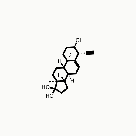 C#C[C@@H]1C2=CC[C@@H]3[C@H](CC[C@@]4(C)[C@H]3CCC4(O)O)[C@@]2(C)CC[C@H]1O